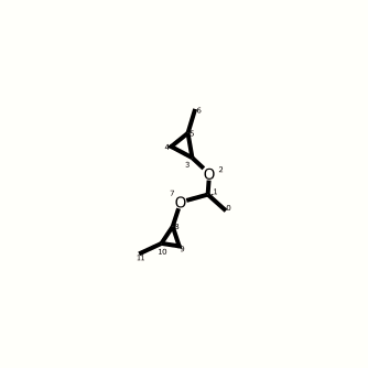 C[C](OC1CC1C)OC1CC1C